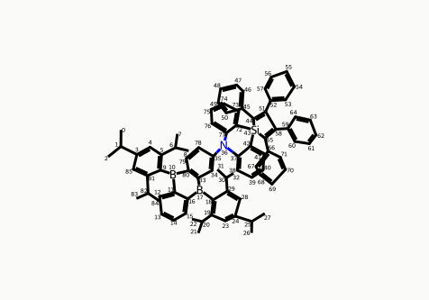 CC(C)c1cc(C(C)C)c(B2c3ccccc3B(c3c(C(C)C)cc(C(C)C)cc3C(C)C)c3cc(N4c5ccccc5[Si]5(C(c6ccccc6)=C(c6ccccc6)C(c6ccccc6)=C5c5ccccc5)c5ccccc54)ccc32)c(C(C)C)c1